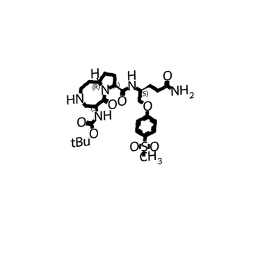 CC(C)(C)OC(=O)N[C@H]1CNCC[C@H]2CC[C@@H](C(=O)N[C@@H](CCC(N)=O)COc3ccc(S(C)(=O)=O)cc3)N2C1=O